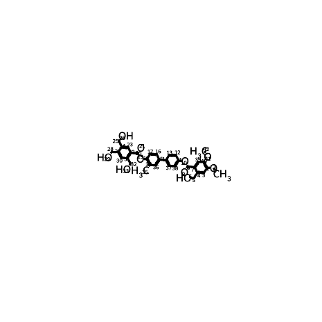 COc1cc(CO)c(C(=O)Oc2ccc(-c3ccc(OC(=O)c4cc(CO)c(CO)cc4CO)c(C)c3)cc2)cc1OC